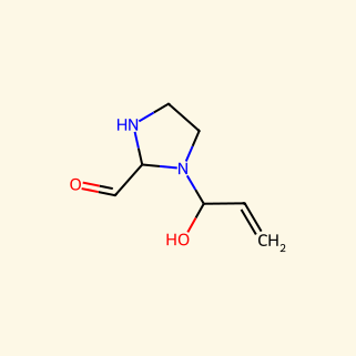 C=CC(O)N1CCNC1C=O